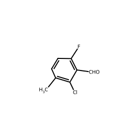 Cc1ccc(F)c(C=O)c1Cl